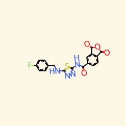 O=C(Nc1nnc(NCc2ccc(F)cc2)s1)c1ccc2c(c1)C(=O)OC2=O